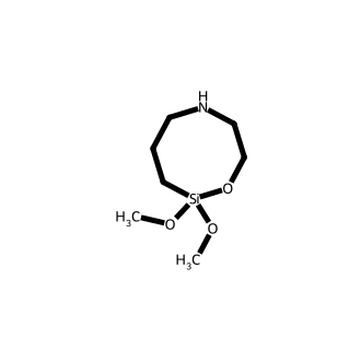 CO[Si]1(OC)CCCNCCO1